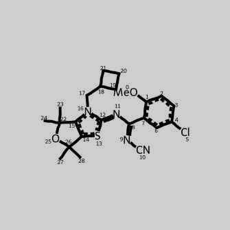 COc1ccc(Cl)cc1C(=NC#N)N=c1sc2c(n1CC1CCC1)C(C)(C)OC2(C)C